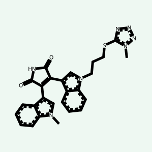 Cn1nnnc1SCCCn1cc(C2=C(c3cn(C)c4ccccc34)C(=O)NC2=O)c2ccccc21